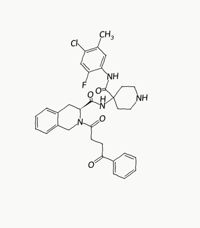 Cc1cc(NC(=O)C2(NC(=O)[C@@H]3Cc4ccccc4CN3C(=O)CCC(=O)c3ccccc3)CCNCC2)c(F)cc1Cl